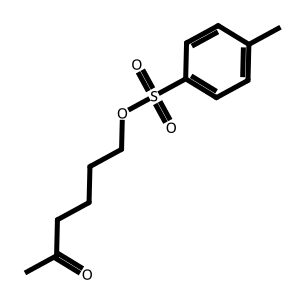 CC(=O)CCCCOS(=O)(=O)c1ccc(C)cc1